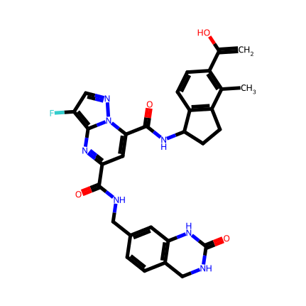 C=C(O)c1ccc2c(c1C)CCC2NC(=O)c1cc(C(=O)NCc2ccc3c(c2)NC(=O)NC3)nc2c(F)cnn12